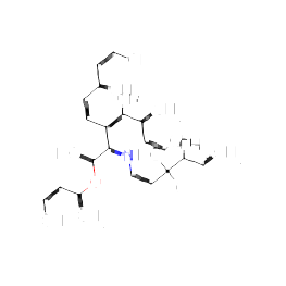 C=CC(C)C(C)(C)/C=C\N=C(/C(=C)OC(=C)/C=C\C)C(/C=C\C(=C)/C=C\C)=C(C)C(=C)/C=C\C